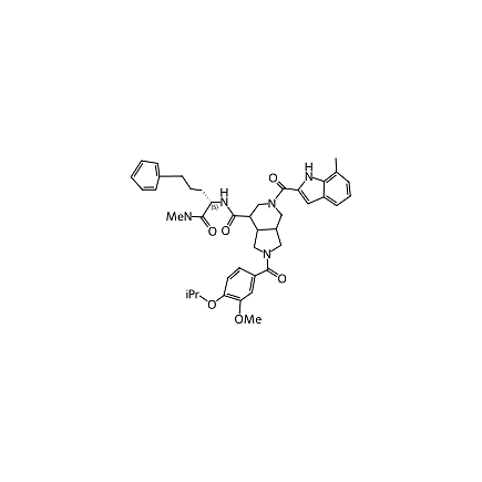 CNC(=O)[C@H](CCCc1ccccc1)NC(=O)C1CN(C(=O)c2cc3cccc(C)c3[nH]2)CC2CN(C(=O)c3ccc(OC(C)C)c(OC)c3)CC21